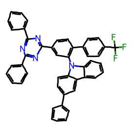 FC(F)(F)c1ccc(-c2ccc(-c3nc(-c4ccccc4)nc(-c4ccccc4)n3)cc2-n2c3ccccc3c3cc(-c4ccccc4)ccc32)cc1